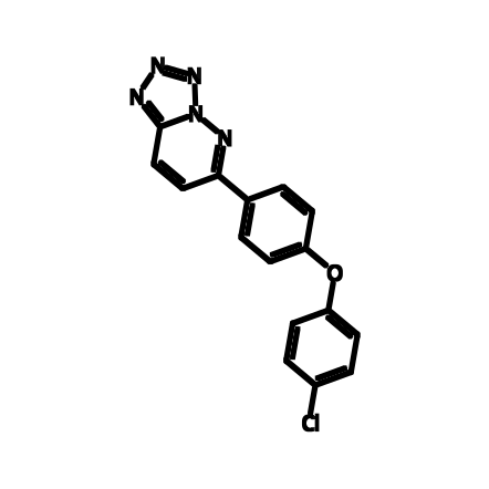 Clc1ccc(Oc2ccc(-c3ccc4nnnn4n3)cc2)cc1